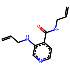 C=CCNC(=O)c1ccn[c]c1NCC=C